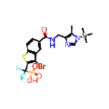 Cc1c(CNC(=O)c2ccc3sc(C(F)(F)P(=O)(O)O)c(Br)c3c2)ncn1[Si](C)(C)C